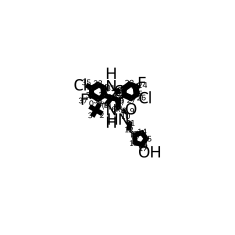 CC(C)(C)C[C@H]1N[C@@H](C(=O)NCC[C@@H]2CC[C@H](O)C2)[C@H](c2ccc(F)c(Cl)c2)[C@@]12C(=O)Nc1cc(Cl)c(F)cc12